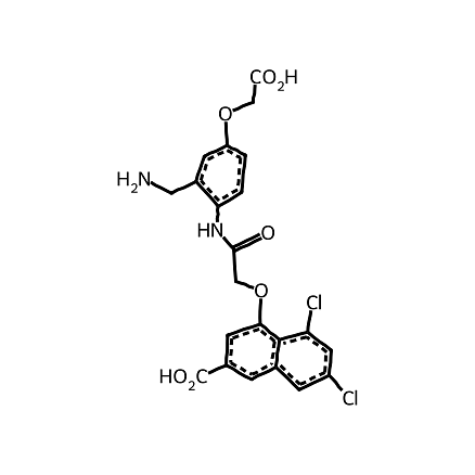 NCc1cc(OCC(=O)O)ccc1NC(=O)COc1cc(C(=O)O)cc2cc(Cl)cc(Cl)c12